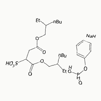 CCCCC(CC)COC(=O)CC(C(=O)OCC(CC)CCCC)S(=O)(=O)O.O=[PH](O)Oc1ccccc1.[NaH]